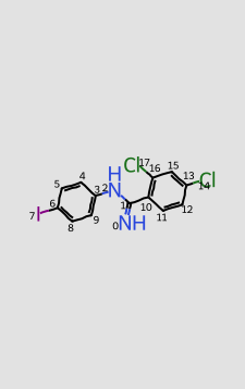 N=C(Nc1ccc(I)cc1)c1ccc(Cl)cc1Cl